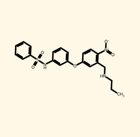 CCCNCc1cc(Oc2cccc(NS(=O)(=O)c3ccccc3)c2)ccc1[N+](=O)[O-]